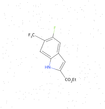 CCOC(=O)c1cc2cc(F)c(C(F)(F)F)cc2[nH]1